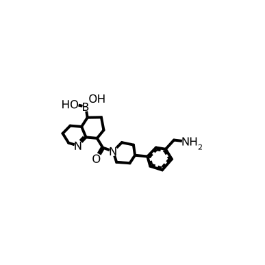 NCc1cccc(C2CCN(C(=O)C3CCC(B(O)O)C4CCCN=C34)CC2)c1